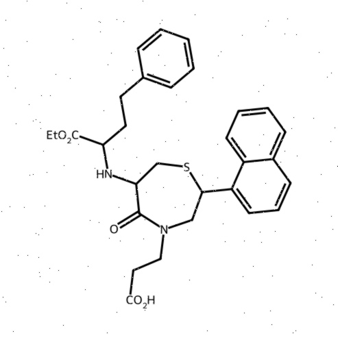 CCOC(=O)C(CCc1ccccc1)NC1CSC(c2cccc3ccccc23)CN(CCC(=O)O)C1=O